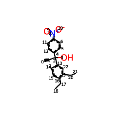 C#CC(O)(c1ccc([N+](=O)[O-])cc1)c1ccc(CC)c(CC)c1